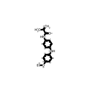 C=C(C)C(=O)Nc1ccc(Nc2ccc(OCC)cc2)cc1